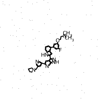 CN(C)CCOc1cc(F)cc(-c2cccc3[nH]c(-c4n[nH]c5cnc(-c6cncc(CN7CCCC7)c6)cc45)cc23)c1